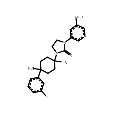 CC1(N2CCN(c3cncc(C(=O)O)c3)C2=O)CCC(N)(c2cccc(Cl)c2)CC1